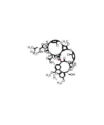 CN[C@H](CC(C)C)C(=O)N[C@H]1C(=O)N[C@@H](CC(N)=O)C(=O)N[C@H]2C(=S)N[C@H]3C(=O)N[C@H](C(=O)N[C@H](CO)C4=CC(OC)CC(OC)=C4C4CC3=CC=C4COC)[C@H](O)C3=CC=C(Oc4cc2cc(c4OC)Oc2ccc(cc2Cl)[C@H]1O)C(Cl)C3